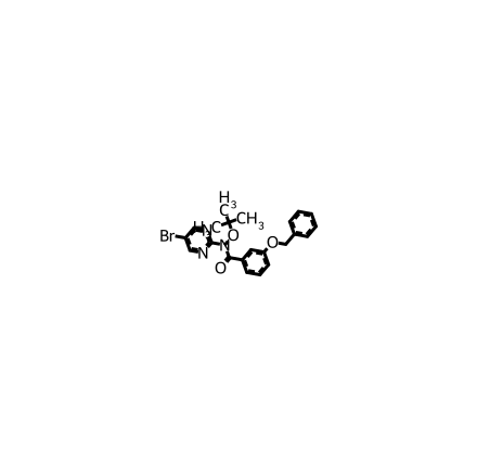 CC(C)(C)ON(C(=O)c1cccc(OCc2ccccc2)c1)c1ncc(Br)cn1